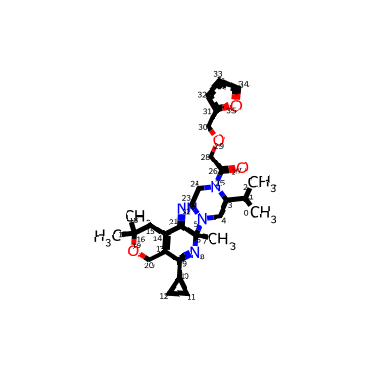 CC(C)C1CN(C2(C)N=C(C3CC3)C3=C(CC(C)(C)OC3)C2=N)CCN1C(=O)COCc1ccco1